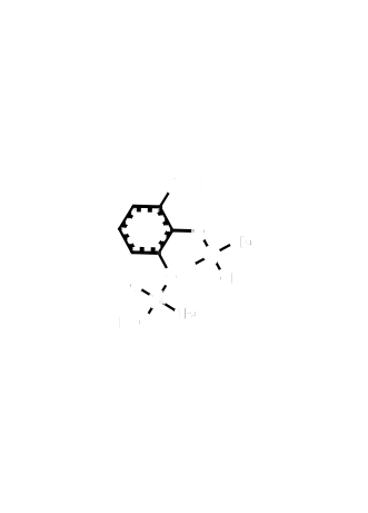 CC(C)(C)[Si](C)(C)Oc1cccc(C(=O)O)c1O[Si](C)(C)C(C)(C)C